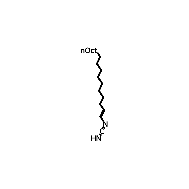 CCCCCCCCCCCCCCCCC=CN=C=N